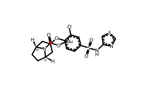 CC(C)(C)OC(=O)N1[C@@H]2CC[C@H]1CC(Oc1ccc(S(=O)(=O)Nc3cscn3)cc1Cl)C2